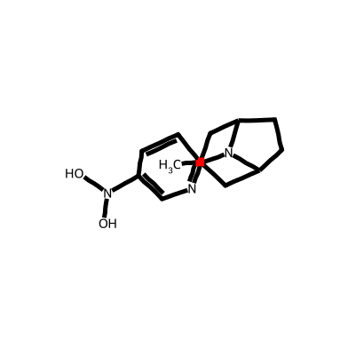 CC1CC2CCC(C1)N2c1ccc(N(O)O)cn1